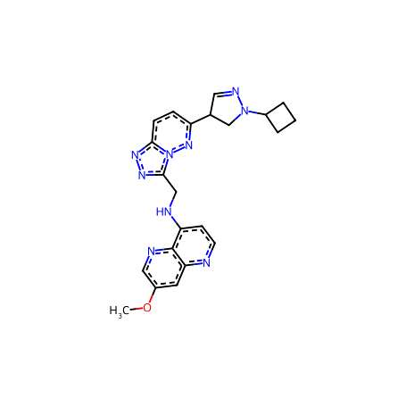 COc1cnc2c(NCc3nnc4ccc(C5C=NN(C6CCC6)C5)nn34)ccnc2c1